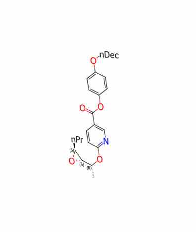 CCCCCCCCCCOc1ccc(OC(=O)c2ccc(O[C@H](C)[C@@H]3O[C@H]3CCC)nc2)cc1